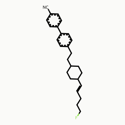 N#Cc1ccc(-c2ccc(CCC3CCC(C=CCCCF)CC3)cc2)cc1